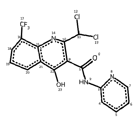 O=C(Nc1ccccn1)c1c(C(Cl)Cl)nc2c(C(F)(F)F)cccc2c1O